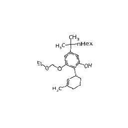 CCCCCCC(C)(C)c1cc(O)c(C2C=C(C)CCC2)c(OCOCC)c1